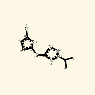 CC(C)n1nnc(Sc2ncc(Cl)s2)n1